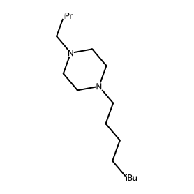 CCC(C)CCCCN1CCN(CC(C)C)CC1